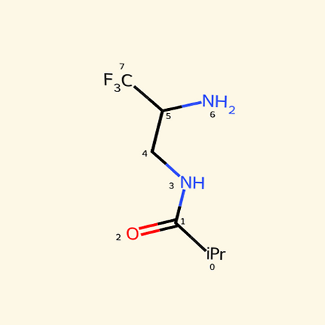 CC(C)C(=O)NCC(N)C(F)(F)F